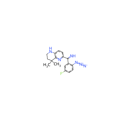 CC1(C)CCNc2ccc(C(=N)c3cc(F)ccc3N=[N+]=[N-])nc21